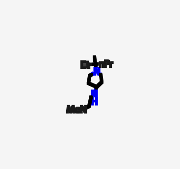 CCCC(C)(CC)N1CCC(NCCNC)CC1